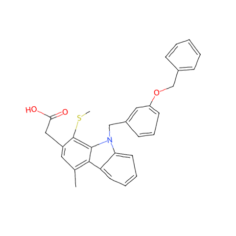 CSc1c(CC(=O)O)cc(C)c2c3ccccc3n(Cc3cccc(OCc4ccccc4)c3)c12